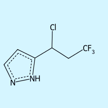 FC(F)(F)CC(Cl)c1ccn[nH]1